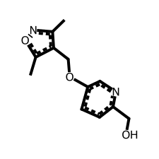 Cc1noc(C)c1COc1ccc(CO)nc1